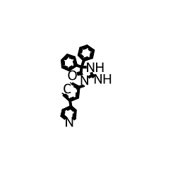 N=C1NC(c2ccccc2)(c2ccccc2)C(=O)N1Cc1cccc(-c2ccncc2)c1